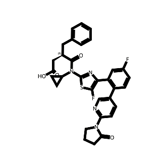 O=C(O)C[C@@H](Cc1ccccc1)C(=O)N(c1nc(-c2cc(F)ccc2-c2ccc(N3CCCC3=O)nc2)c(F)s1)C1CC1